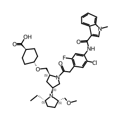 CC[C@H]1CC[C@@H](COC)N1[C@H]1C[C@@H](CO[C@H]2CC[C@H](C(=O)O)CC2)N(C(=O)Cc2cc(Cl)c(NC(=O)c3cn(C)c4ccccc34)cc2F)C1